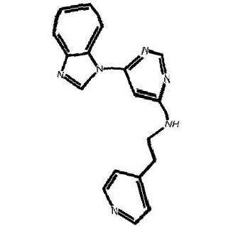 c1ccc2c(c1)ncn2-c1cc(NCCc2ccncc2)ncn1